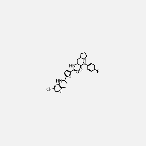 Cc1ncc(Cl)cc1NC(C)c1ccc(C(=O)NC(CC2CCCC2)C(=O)Nc2ccc(F)cc2)s1